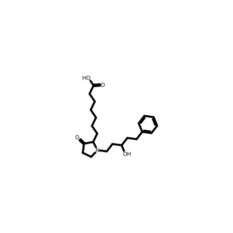 O=C(O)CCCCCCC1C(=O)CCN1CCC(O)CCc1ccccc1